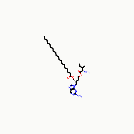 CCCCCCCCCCCCCCCCCCCC(=O)OC[C@H](CCOC(=O)[C@@H](N)C(C)CC)Cn1cnc2cnc(N)nc21